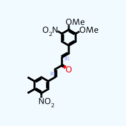 COc1cc(/C=C/C(=O)/C=C/c2cc(C)c(C)c([N+](=O)[O-])c2)cc([N+](=O)[O-])c1OC